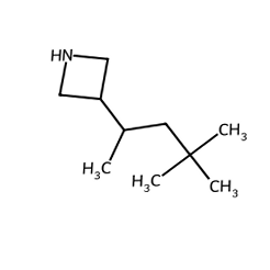 CC(CC(C)(C)C)C1CNC1